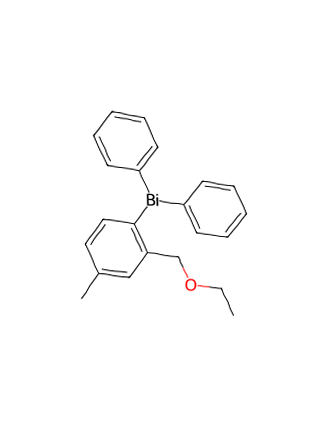 CCOCc1cc(C)cc[c]1[Bi]([c]1ccccc1)[c]1ccccc1